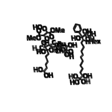 CCCCC(O)C(O)(O)O.CCCCCCC(CCCCCCCCCC(O)C(O)(O)O)C(O)(c1ccccc1)C(O)(O)O.COC(=O)C(OO)C(OOC(C)(CCC(C)(C)O)C(O)(O)CCCCCC(O)O)C(=O)OC